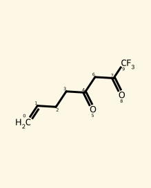 C=CCCC(=O)CC(=O)C(F)(F)F